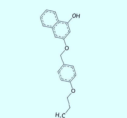 CCCOc1ccc(COc2cc(O)c3ccccc3c2)cc1